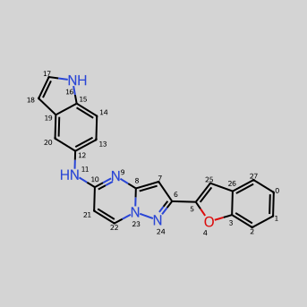 c1ccc2oc(-c3cc4nc(Nc5ccc6[nH]ccc6c5)ccn4n3)cc2c1